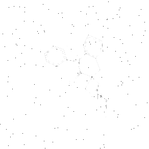 CCC1(CCCCl)Cc2ccccc2N(c2ccccc2)C1=O